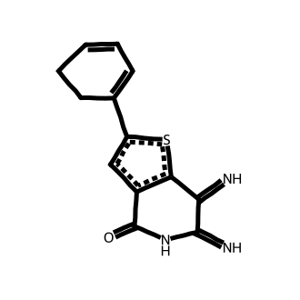 N=C1NC(=O)c2cc(C3=CC=CCC3)sc2C1=N